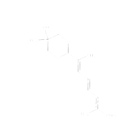 C\C(C=O)=C/C=C/C=C(\C)C1OCC(C)(C)CO1